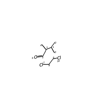 CC(C)C(C)C=O.ClCCCl